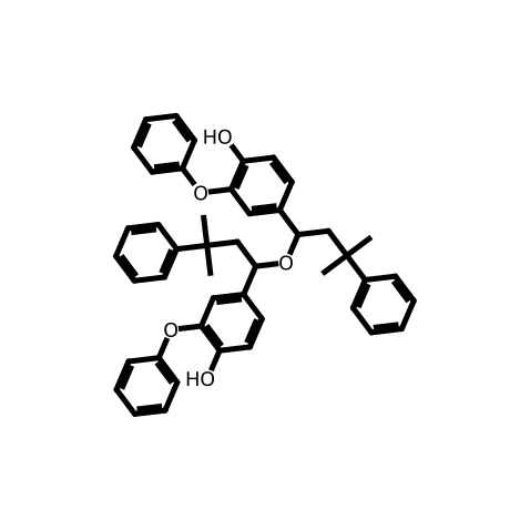 CC(C)(CC(OC(CC(C)(C)c1ccccc1)c1ccc(O)c(Oc2ccccc2)c1)c1ccc(O)c(Oc2ccccc2)c1)c1ccccc1